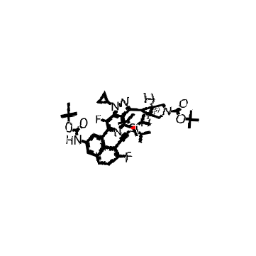 CCc1nc(-c2cc(NC(=O)OC(C)(C)C)cc3ccc(F)c(C#C[Si](C(C)C)(C(C)C)C(C)C)c23)c(F)c2c1c(C1[C@H]3CN(C(=O)OC(C)(C)C)C[C@@H]13)nn2C1CC1